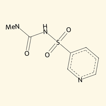 CNC(=O)NS(=O)(=O)c1cccnc1